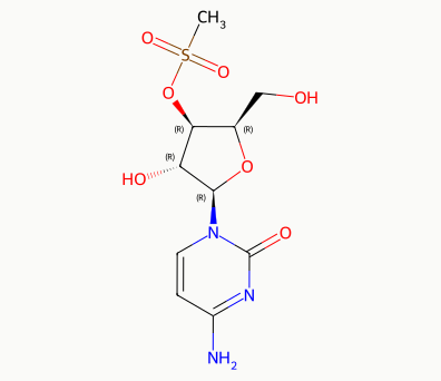 CS(=O)(=O)O[C@@H]1[C@@H](O)[C@H](n2ccc(N)nc2=O)O[C@@H]1CO